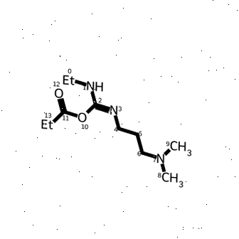 CCN/C(=N/CCCN(C)C)OC(=O)CC